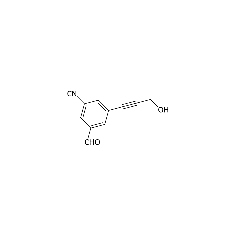 [C-]#[N+]c1cc(C#CCO)cc(C=O)c1